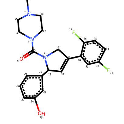 CN1CCN(C(=O)N2CC(c3cc(F)ccc3F)=CC2c2cccc(O)c2)CC1